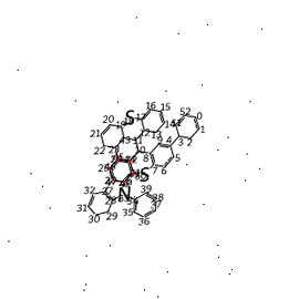 C1=CCC(c2ccc3c(c2)C(C2C4CC=CC=C4SC4C=CCC(C5=CC6C7=C(CCC=C7)N(c7ccccc7)C6C=C5)C42)c2ccccc2S3)C=C1